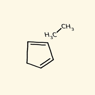 C1=CCC=C1.CC